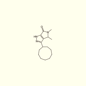 CC1c2c(C3CCCCCCCC3)n[nH]c2C(=O)N1C